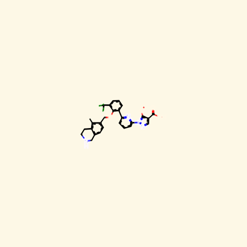 COc1c(C(=O)O)cnn1-c1cccc(-c2cccc(C(F)(F)F)c2OCc2ccc3c(c2C)CCNC3)n1